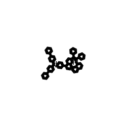 c1ccc(-c2ccc(N(c3ccc(-c4ccccc4)cc3)c3ccc(-c4cccc5c4ccc4c(-c6ccccc6)c(-c6ccccc6)n(-c6cccc7ccccc67)c45)cc3)cc2)cc1